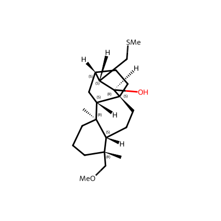 COC[C@]1(C)CCC[C@]2(C)[C@@H]1CC[C@@]13CC[C@@H](C[C@@H]21)[C@H](CSC)[C@H]3O